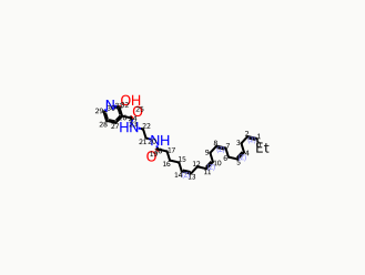 CC/C=C\C/C=C\C/C=C\C/C=C\C/C=C\CCCC(=O)NCCNC(=O)c1cccnc1O